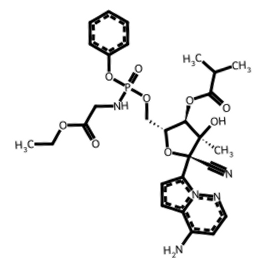 CCOC(=O)CNP(=O)(OC[C@H]1O[C@@](C#N)(c2ccc3c(N)ccnn23)[C@](C)(O)[C@@H]1OC(=O)C(C)C)Oc1ccccc1